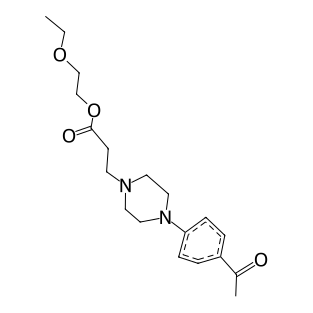 CCOCCOC(=O)CCN1CCN(c2ccc(C(C)=O)cc2)CC1